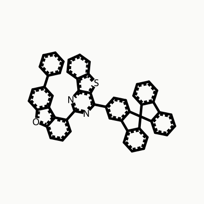 c1ccc(-c2ccc3oc4cccc(-c5nc(-c6ccc7c(c6)-c6ccccc6C76c7ccccc7-c7ccccc76)c6sc7ccccc7c6n5)c4c3c2)cc1